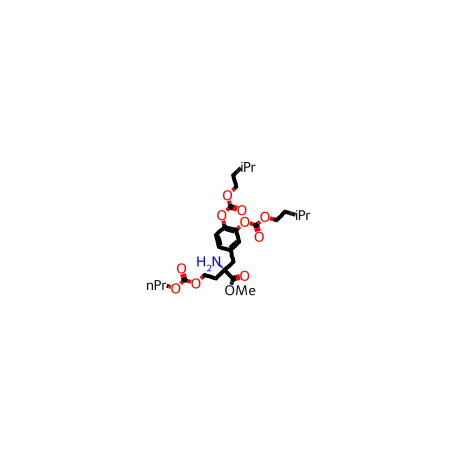 CCCOC(=O)OCC[C@@](N)(Cc1ccc(OC(=O)OCCC(C)C)c(OC(=O)OCCC(C)C)c1)C(=O)OC